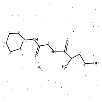 Cl.O=C(CNC(=O)C(O)CCO)NN1CCCCC1